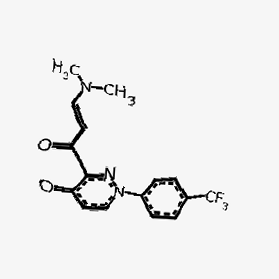 CN(C)C=CC(=O)c1nn(-c2ccc(C(F)(F)F)cc2)ccc1=O